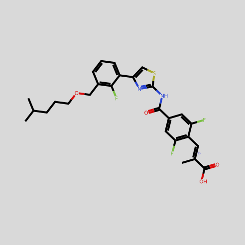 C/C(=C\c1c(F)cc(C(=O)Nc2nc(-c3cccc(COCCCC(C)C)c3F)cs2)cc1F)C(=O)O